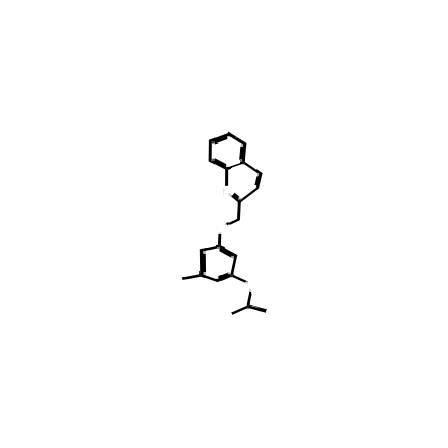 Cc1cc(OCc2ccc3ccccc3n2)cc(OC(C)C)c1